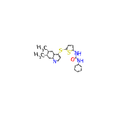 Cc1cc2nccc(Sc3ccc(NC(=O)Nc4ccccc4)s3)c2cc1C